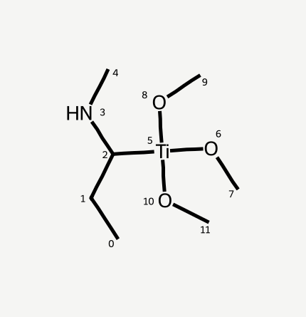 CC[CH](NC)[Ti]([O]C)([O]C)[O]C